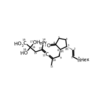 CCCCCCC=C[C@H]1CCC(=O)[C@@H]1CC(C)=C=C(CCC)CC(O)(O)C(=O)O